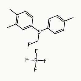 Cc1ccc([S+](CF)c2ccc(C)c(C)c2)cc1.F[B-](F)(F)F